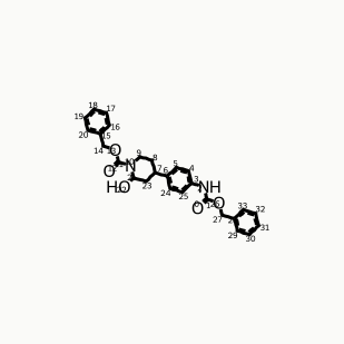 O=C(Nc1ccc(C2CCN(C(=O)OCc3ccccc3)C(O)C2)cc1)OCc1ccccc1